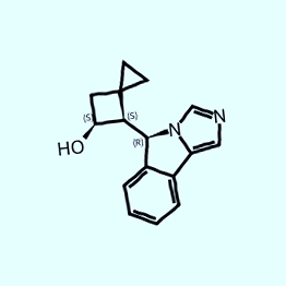 O[C@H]1CC2(CC2)[C@H]1[C@@H]1c2ccccc2-c2cncn21